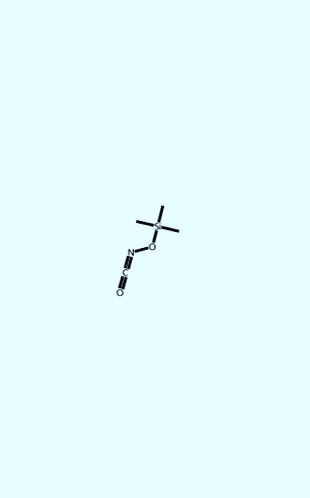 C[Si](C)(C)ON=C=O